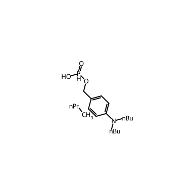 CCCC.CCCCN(CCCC)c1ccc(CO[PH](=O)O)cc1